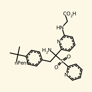 CCCCCC(C)(C)c1ccc(CC(N)(c2cccc(NCC(=O)O)n2)S(=O)(=O)c2ccccn2)cc1